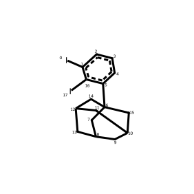 Ic1cccc(C23CC4CC(CC(C4)C2)C3)c1I